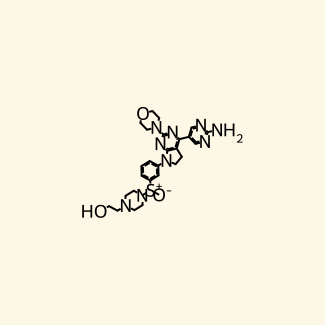 Nc1ncc(-c2nc(N3CCOCC3)nc3c2CCN3c2cccc([S+]([O-])N3CCN(CCO)CC3)c2)cn1